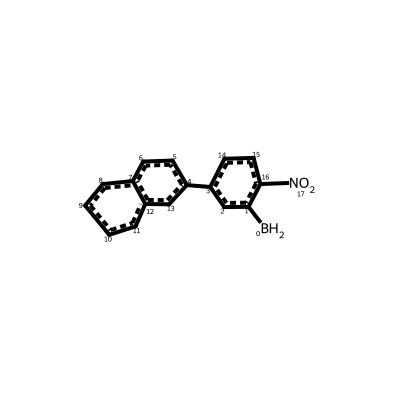 Bc1cc(-c2ccc3ccccc3c2)ccc1[N+](=O)[O-]